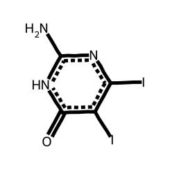 Nc1nc(I)c(I)c(=O)[nH]1